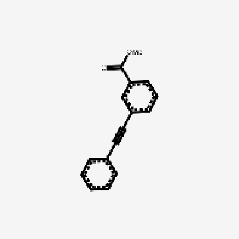 COC(=O)c1cccc(C#Cc2ccccc2)c1